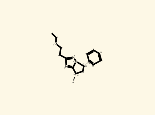 CCOCCc1nc2n(n1)[C@H](c1ccccc1)C[C@@H]2F